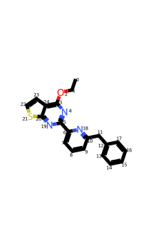 CCOc1nc(-c2cccc(Cc3ccccc3)n2)nc2sccc12